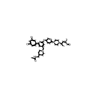 CC(=O)NCC1CCN(Cc2cc(OC3C=CC(N4CCN(C(C)C[C@@H](C)[S+]=O)CC4)=NC3)nc(C3=C=CC(Cl)=CC(Cl)=C3)c2)CC1